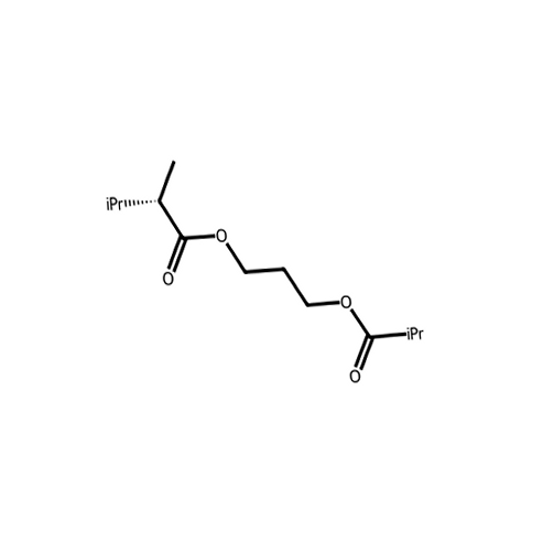 CC(C)C(=O)OCCCOC(=O)[C@@H](C)C(C)C